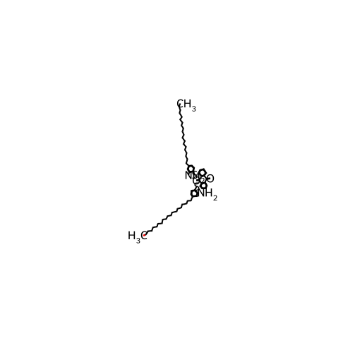 CCCCCCCCCCCCCCCCCCCCc1ccc(Sc2cccc3c2C(=O)c2c(Sc4ccc(CCCCCCCCCCCCCCCCCCCC)cc4N)cccc2C3=O)c(N)c1